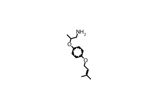 CC(C)=CCOc1ccc(OC(C)CN)cc1